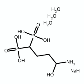 NC(O)CCC(P(=O)(O)O)P(=O)(O)O.O.O.O.[NaH]